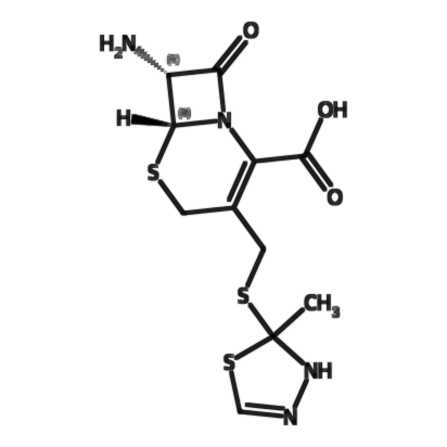 CC1(SCC2=C(C(=O)O)N3C(=O)[C@@H](N)[C@H]3SC2)NN=CS1